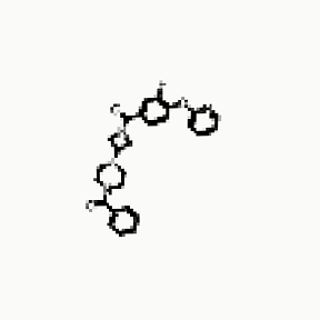 O=C(c1ccccc1)N1CCN(C2CN(C(=O)c3ccc(Oc4ccccn4)c(F)c3)C2)CC1